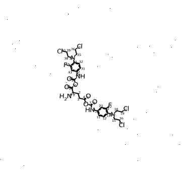 N[C@@H](CCC(=O)OC(=O)Nc1ccc(N(CCCl)CCCl)c(F)c1)C(=O)OC(=O)Nc1ccc(N(CCCl)CCCl)c(F)c1